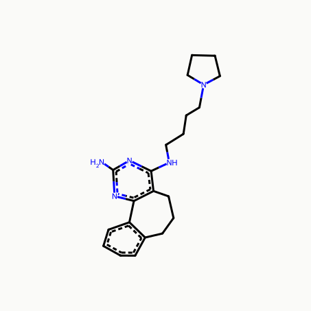 Nc1nc(NCCCCN2CCCC2)c2c(n1)-c1ccccc1CCC2